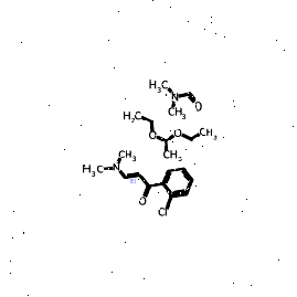 CCOC(C)OCC.CN(C)/C=C/C(=O)c1ccccc1Cl.CN(C)C=O